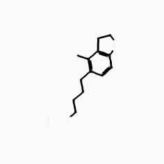 Cc1c(CCCCC(=O)O)ccc2c1CCO2